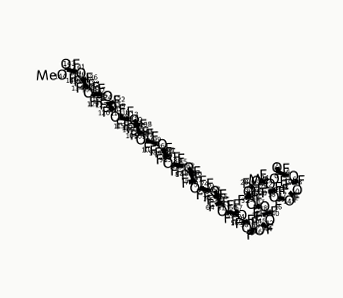 COC(=O)C(F)(F)OC(F)(F)OC(F)(F)OC(F)(F)OC(F)(F)OC(F)(F)OC(F)(F)OC(F)(F)OC(F)(F)OC(F)(F)OC(F)(F)OC(F)(F)OC(F)(F)OC(F)(F)C(F)(F)OC(F)(F)C(F)(F)OC(F)(F)C(F)(F)OC(F)(F)C(F)(F)OC(F)(F)C(F)(F)OC(F)(F)C(F)(F)OC(F)(F)C(F)(F)OC(F)(F)C(F)(F)OC(F)(F)C(F)(F)OC(F)(F)C(F)(F)OC(F)(F)C(F)(F)OC(F)(F)C(F)(F)OC(F)(F)C(=O)OC